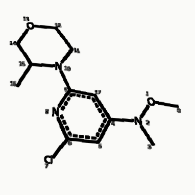 CON(C)c1cc(Cl)nc(N2CCOCC2C)c1